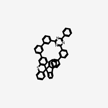 c1ccc(-c2cccc(-c3nc(-c4ccccc4)nc(-c4cccc(-c5cccc(-c6ccc7c(c6)Sc6ccccc6C76c7ccccc7-c7ccccc76)c5)c4)n3)c2)cc1